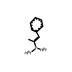 CCCP(CCC)/C(C)=C/c1ccccc1